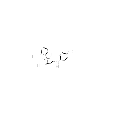 C=C(C=CNc1ccc(OC)cc1)C(C)(C)c1ccccc1C